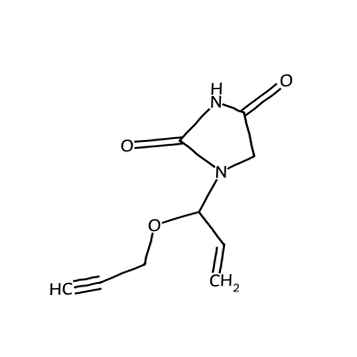 C#CCOC(C=C)N1CC(=O)NC1=O